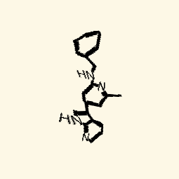 Cc1cc(-c2c[nH]c3ncccc23)cc(NCc2ccccc2)n1